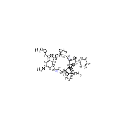 COCOc1cc(N)cc2c1C(=O)O[C@@H](C)C/C=C\C(OC(=O)c1ccccc1)[C@H]1OC(C)(C)O[C@H]1C/C=C/2